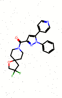 O=C(c1cc(-c2ccncc2)n(-c2ccccc2)n1)N1CCC2(CC1)CC(F)(F)CO2